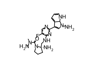 CN(N)C(=O)N1CCC[C@]1(N)CNc1nc(C2=CN(N)C3NC=CC=C23)ncc1F